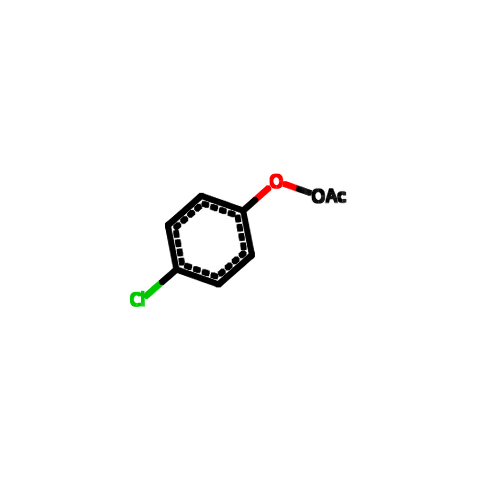 CC(=O)OOc1ccc(Cl)cc1